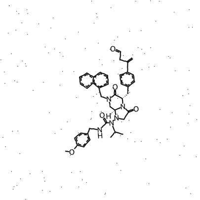 C=C(CC=O)c1ccc(C[C@H]2C(=O)N(Cc3cccc4ccccc34)C[C@H]3N2C(=O)CN3N(C(=O)NCc2ccc(OC)cc2)C(C)C)cc1